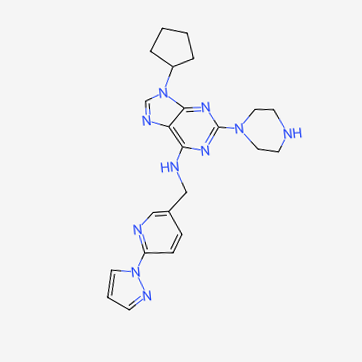 c1cnn(-c2ccc(CNc3nc(N4CCNCC4)nc4c3ncn4C3CCCC3)cn2)c1